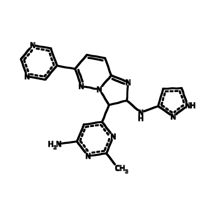 Cc1nc(N)cc(C2C(Nc3cc[nH]n3)N=C3C=CC(c4cncnc4)=NN32)n1